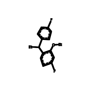 CCOc1cc(F)ccc1C(CC)c1ccc(F)cc1